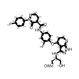 COC[C@H](CO)Nc1n[nH]c2nccc(Oc3ccc(NC(=O)c4ccnn(-c5ccc(F)cc5)c4=O)cc3F)c12